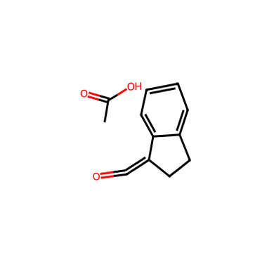 CC(=O)O.O=C=C1CCc2ccccc21